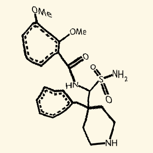 COc1cccc(C(=O)NC(C2(c3ccccc3)CCNCC2)S(N)(=O)=O)c1OC